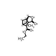 CCOC(=O)C1C2C(=O)OC3C2CC1[C@H]3C